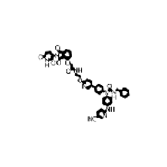 N#Cc1ccc(N[C@H]2CC[C@H](N(C(=O)NCc3ccccc3)c3ccc(-c4ccc(OCCNC(=O)COc5cccc6c5C(=O)N(C5CCC(=O)NC5=O)C6=O)nc4)cc3)CC2)nc1